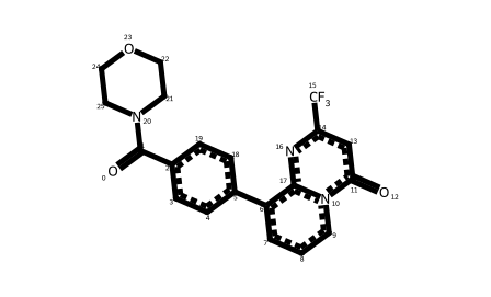 O=C(c1ccc(-c2cccn3c(=O)cc(C(F)(F)F)nc23)cc1)N1CCOCC1